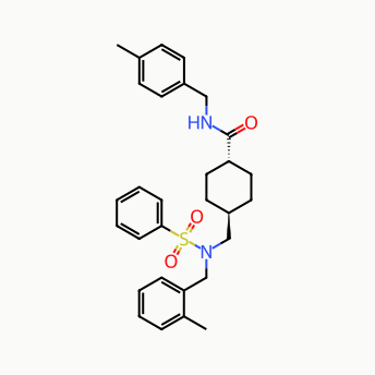 Cc1ccc(CNC(=O)[C@H]2CC[C@H](CN(Cc3ccccc3C)S(=O)(=O)c3ccccc3)CC2)cc1